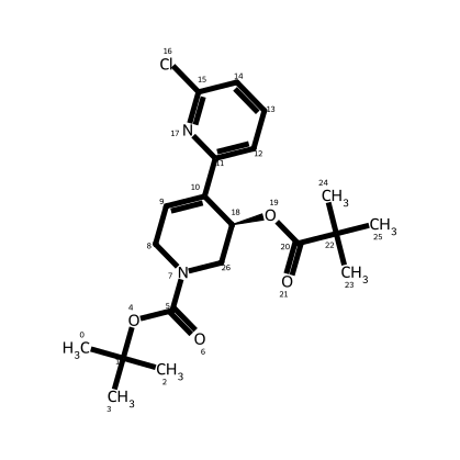 CC(C)(C)OC(=O)N1CC=C(c2cccc(Cl)n2)[C@@H](OC(=O)C(C)(C)C)C1